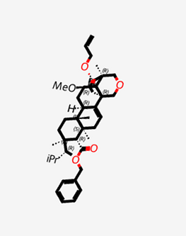 C=CCO[C@H]1[C@H](OC)C[C@@]23COC[C@@]1(C)[C@@H]2CC[C@H]1C3=CC[C@@]2(C)[C@H](C(=O)OCc3ccccc3)[C@@](C)([C@H](C)C(C)C)CC[C@]12C